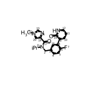 CC(C)N(Cc1ccc(F)c(-c2ccc[nH]c2=O)c1)C(=O)c1cn(C)cn1